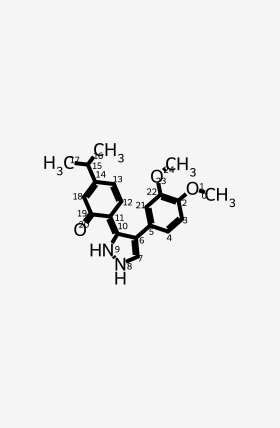 COc1ccc(C2=CNN/C2=C2/C=CC(C(C)C)=CC2=O)cc1OC